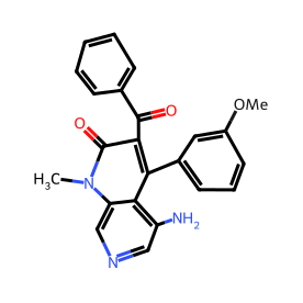 COc1cccc(-c2c(C(=O)c3ccccc3)c(=O)n(C)c3cncc(N)c23)c1